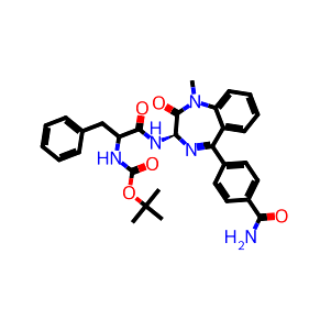 CN1C(=O)[C@H](NC(=O)C(Cc2ccccc2)NC(=O)OC(C)(C)C)N=C(c2ccc(C(N)=O)cc2)c2ccccc21